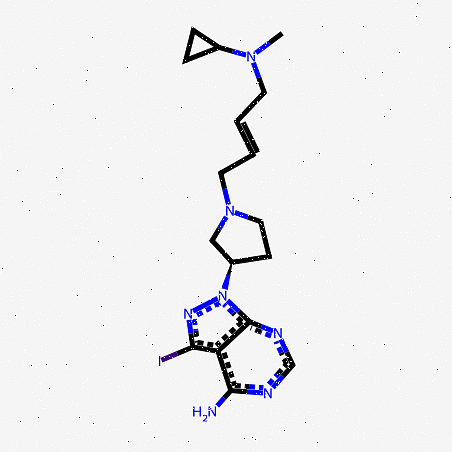 CN(C/C=C/CN1CC[C@@H](n2nc(I)c3c(N)ncnc32)C1)C1CC1